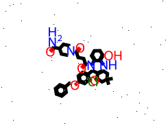 CC1(C)CC(=O)C2=C(C1)NC1=C(O)CCC=C1N(C(=O)CCC(=O)N1CCC(C(N)=O)CC1)C2c1ccc(OCc2ccccc2)cc1Cl